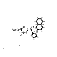 COC(=O)N(C)CC[C@H](Oc1cccc2ccccc12)c1cccs1